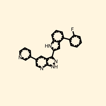 Fc1ccccc1-c1cccc2[nH]c(-c3n[nH]c4ncc(-c5cccnc5)cc34)cc12